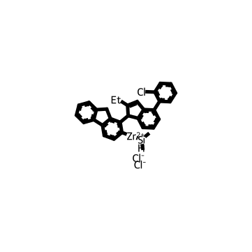 CCC1=Cc2c(-c3ccccc3Cl)cccc2C1c1[c]([Zr+2][SiH](C)C)ccc2c1Cc1ccccc1-2.[Cl-].[Cl-]